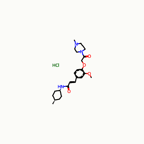 COc1cc(/C=C/C(=O)N[C@H]2CC[C@H](C)CC2)ccc1OCC(=O)N1CCN(C)CC1.Cl